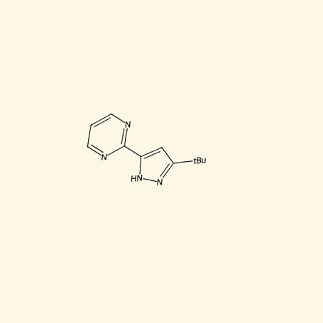 CC(C)(C)c1cc(-c2ncccn2)[nH]n1